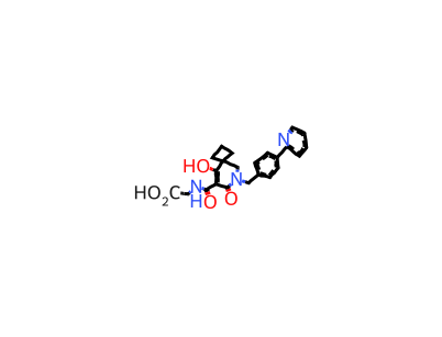 O=C(O)CNC(=O)C1=C(O)C2(CCC2)CN(Cc2ccc(-c3ccccn3)cc2)C1=O